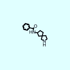 O=C(NC1CCC2(CCNC2)C1)c1ccccc1